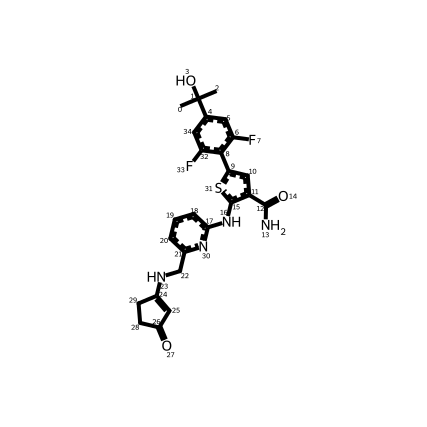 CC(C)(O)c1cc(F)c(-c2cc(C(N)=O)c(Nc3cccc(CNC4=CC(=O)CC4)n3)s2)c(F)c1